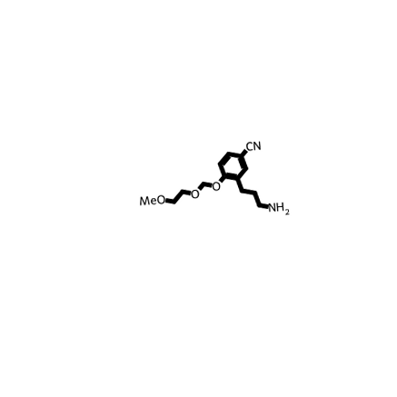 COCCOCOc1ccc(C#N)cc1CCCN